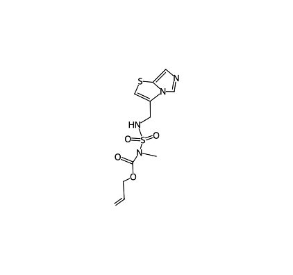 C=CCOC(=O)N(C)S(=O)(=O)NCc1csc2cncn12